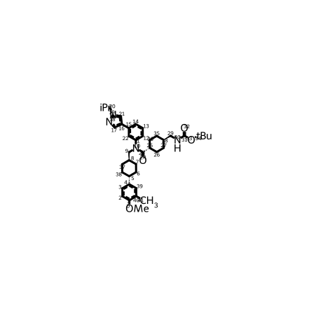 COc1ccc([C@H]2CC[C@H](CN(c3cccc(-c4cnn(C(C)C)c4)c3)C(=O)[C@H]3CC[C@H](CNC(=O)OC(C)(C)C)CC3)CC2)cc1C